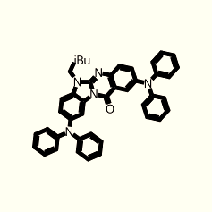 CCC(C)Cn1c2ccc(N(c3ccccc3)c3ccccc3)cc2n2c(=O)c3cc(N(c4ccccc4)c4ccccc4)ccc3nc12